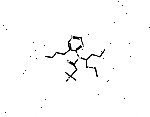 CCCCc1cncnc1N(C(=O)CC(C)(C)C)C(CCC)CCC